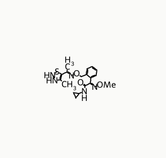 CO/N=C(/C(=O)NC1CC1)c1ccccc1CO/N=C(\C)C1=C(C)NNS1